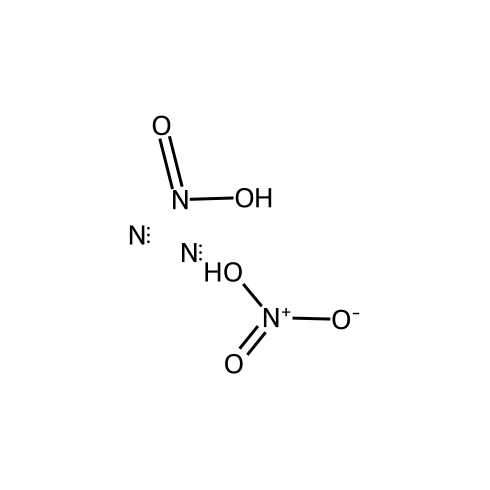 O=NO.O=[N+]([O-])O.[N].[N]